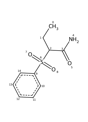 CCC(C(N)=O)S(=O)(=O)c1ccccc1